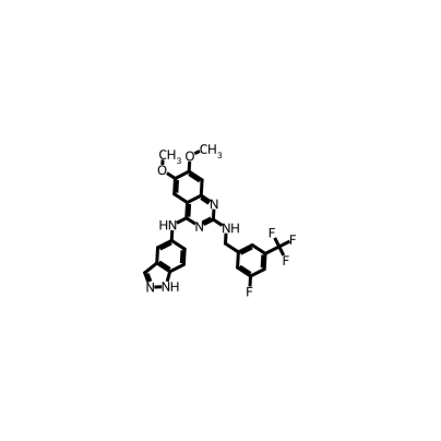 COc1cc2nc(NCc3cc(F)cc(C(F)(F)F)c3)nc(Nc3ccc4[nH]ncc4c3)c2cc1OC